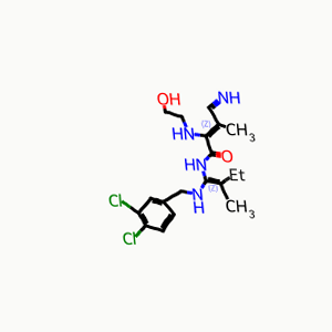 CC/C(C)=C(/NCc1ccc(Cl)c(Cl)c1)NC(=O)/C(NCCO)=C(\C)C=N